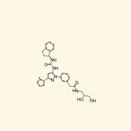 O=C(Cc1cccc(-n2nc(-c3cccs3)cc2NC(=O)N[C@H]2CCc3ccccc32)c1)NCC(O)CO